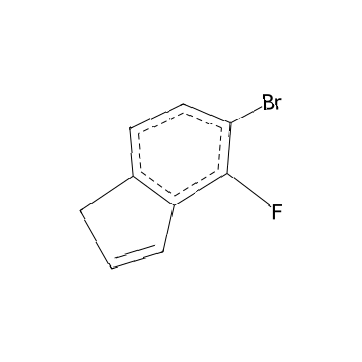 Fc1c(Br)ccc2c1C=CC2